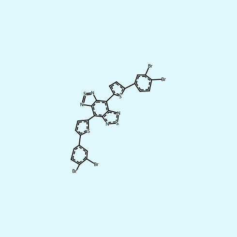 Brc1ccc(-c2ccc(-c3c4c(c(-c5ccc(-c6ccc(Br)c(Br)c6)s5)c5nsnc35)N=S=N4)s2)cc1Br